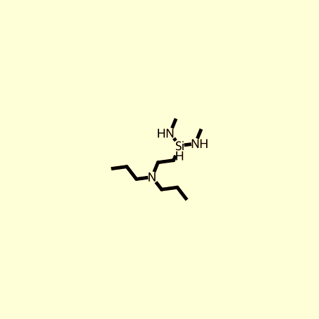 CCCN(CCC)CC[SiH](NC)NC